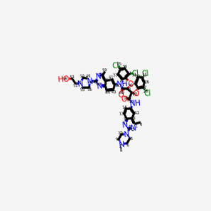 Cc1nc(N2CCN(C)CC2)nc2ccc(NC(=O)C(Oc3ccc(Cl)cc3Cl)C(Oc3ccc(Cl)cc3Cl)C(=O)Nc3ccc4nc(N5CCN(CCO)CC5)nc(C)c4c3)cc12